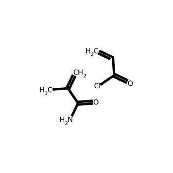 C=C(C)C(N)=O.C=CC(=O)Cl